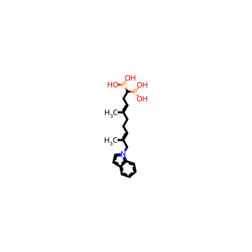 C/C(=C\CC(P(O)O)P(O)O)CC/C=C(\C)Cn1ccc2ccccc21